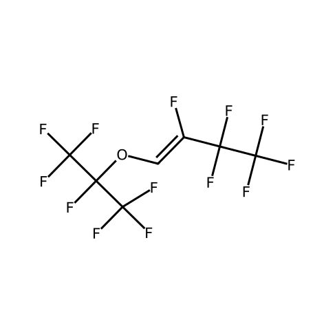 FC(=COC(F)(C(F)(F)F)C(F)(F)F)C(F)(F)C(F)(F)F